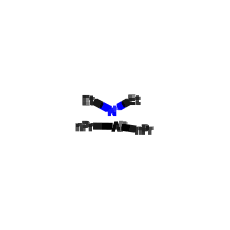 CC[CH2][Al+][CH2]CC.CC[N-]CC